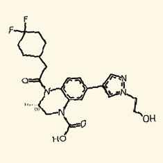 C[C@H]1CN(C(=O)O)c2cc(-c3cnn(CCO)c3)ccc2N1C(=O)CC1CCC(F)(F)CC1